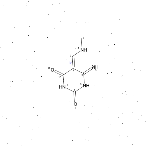 CN/C=C1\C(=N)NC(=O)NC1=O